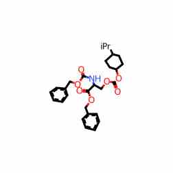 CC(C)C1CCC(OC(=O)OCC(NC(=O)OCc2ccccc2)C(=O)OCc2ccccc2)CC1